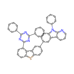 c1ccc(-c2nc(-c3ccccc3)nc(-c3cccc4sc5ccc(-c6ccc7c(c6)c6cccnc6n7-c6ccccc6)cc5c34)n2)cc1